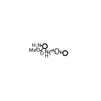 COC(=O)c1c(N)cccc1NC(C)CN1CCN(c2ccccc2)CC1